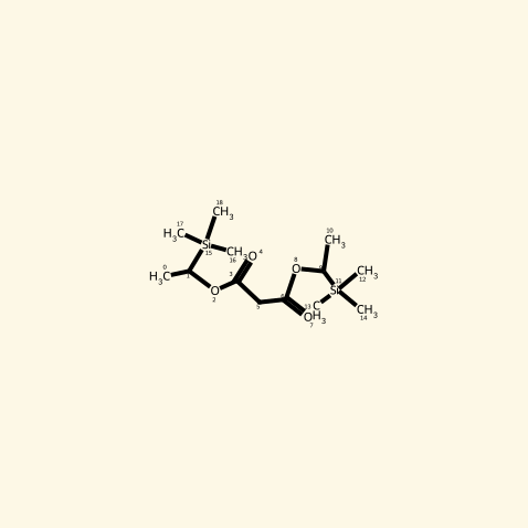 CC(OC(=O)CC(=O)OC(C)[Si](C)(C)C)[Si](C)(C)C